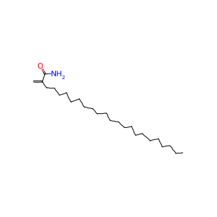 C=C(CCCCCCCCCCCCCCCCCCCCCC)C(N)=O